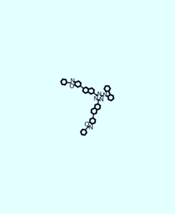 c1ccc(-c2nc3ccc(-c4ccc5cc(-c6nc(-c7ccc8cc(-c9ccc%10nc(-c%11ccccc%11)oc%10c9)ccc8c7)nc(-n7c8ccccc8c8ccccc87)n6)ccc5c4)cc3o2)cc1